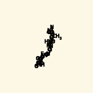 C[C@H]1CN(C(=O)Nc2cnc(N3CCC(CN4CCN(c5cc6c(cc5F)C(=O)N([C@H]5CCC(=O)NC5=O)C6)CC4)CC3)nc2)CCN1c1ccc(C#N)c2ncccc12